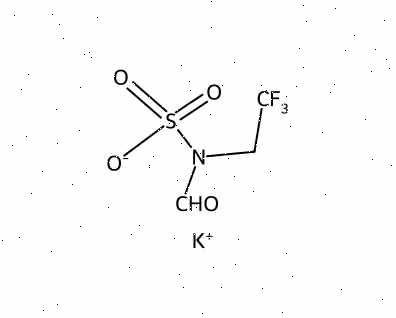 O=CN(CC(F)(F)F)S(=O)(=O)[O-].[K+]